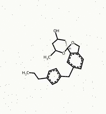 CCCc1ccc(Cc2ccc3c(c2)[C@]2(CC(O)CC(C)O2)OC3)cc1